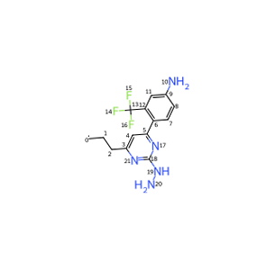 [CH2]CCc1cc(-c2ccc(N)cc2C(F)(F)F)nc(NN)n1